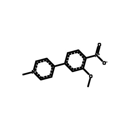 COc1cc(-c2cc[n+](C)cc2)ccc1[N+](=O)[O-]